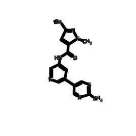 Cn1nc(C(C)(C)C)cc1C(=O)Nc1cncc(-c2cnc(N)nc2)c1